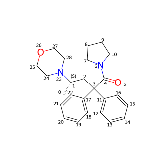 C[C@@H](CC(C(=O)N1CCCC1)(c1ccccc1)c1ccccc1)N1CCOCC1